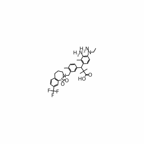 CCN(N)c1ccc(C(c2ccc(C)c(CN3CCCc4ccc(C(F)(F)F)cc4S3(=O)=O)c2)C(C)(C)C(=O)O)c(C)c1N